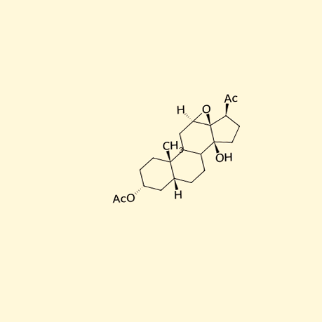 CC(=O)O[C@@H]1CC[C@]2(C)C3C[C@H]4O[C@]45[C@@H](C(C)=O)CC[C@]5(O)C3CC[C@@H]2C1